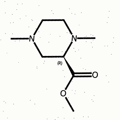 COC(=O)[C@H]1CN(C)CCN1C